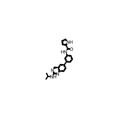 CC(C)Nc1ncc2cc(-c3cccc(NC(=O)c4ccc[nH]4)c3)ccc2n1